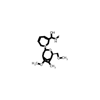 COC[C@@H]1OC(N2CC=CC=C(C(O)NI)C2)CC2CC1C(C)C2OC